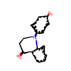 Oc1ccc(N2CCC(O)c3ccccc32)cc1